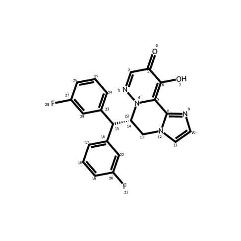 O=c1cnn2c(c1O)-c1nccn1C[C@@H]2C(c1cccc(F)c1)c1cccc(F)c1